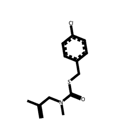 C=C(C)CN(C)C(=O)SCc1ccc(Cl)cc1